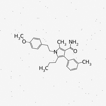 CCCc1c(-c2cccc(C)c2)c(C(N)=O)c(C)n1CCc1ccc(OC)cc1